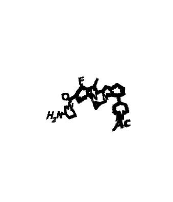 CC(=O)N1CCC(c2cccc3cc(-c4nn5cc(C(=O)N6CCC[C@@H](N)C6)cc(F)c5c4C)n(CC4CC4)c23)CC1